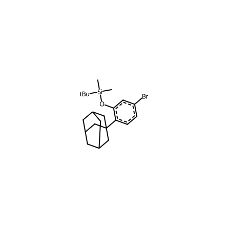 CC(C)(C)[Si](C)(C)Oc1cc(Br)ccc1C12CC3CC(CC(C3)C1)C2